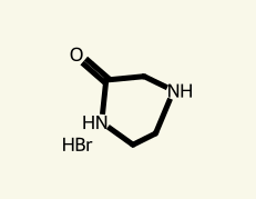 Br.O=C1CNCCN1